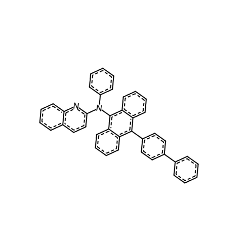 c1ccc(-c2ccc(-c3c4ccccc4c(N(c4ccccc4)c4ccc5ccccc5n4)c4ccccc34)cc2)cc1